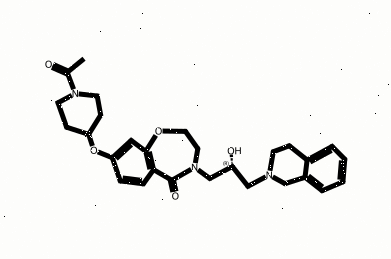 CC(=O)N1CCC(Oc2ccc3c(c2)OCCN(C[C@H](O)CN2CCc4ccccc4C2)C3=O)CC1